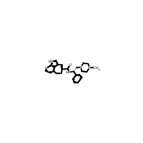 CN1CCN(C[C@@H](NC(=O)C2=Cc3c[nH]c4nccc(c34)CC2)c2ccccc2)CC1